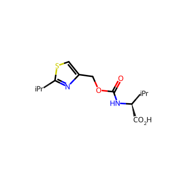 CC(C)c1nc(COC(=O)N[C@H](C(=O)O)C(C)C)cs1